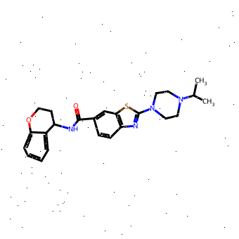 CC(C)N1CCN(c2nc3ccc(C(=O)NC4CCOc5ccccc54)cc3s2)CC1